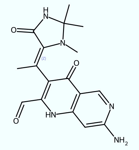 C/C(=C1\C(=O)NC(C)(C)N1C)c1c(C=O)[nH]c2cc(N)ncc2c1=O